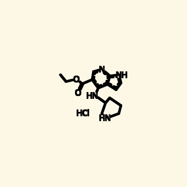 CCOC(=O)c1cnc2[nH]ccc2c1NC1CCCNC1.Cl